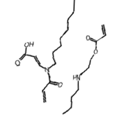 C=CC(=O)N(C=CC(=O)O)CCCCCCCC.C=CC(=O)OCCNCCCC